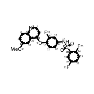 COc1ccc2nccc(Oc3ccc(NS(=O)(=O)c4cc(F)ccc4F)cc3F)c2c1